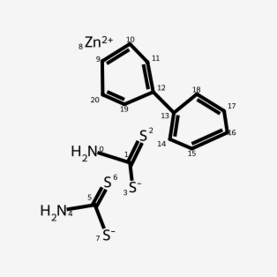 NC(=S)[S-].NC(=S)[S-].[Zn+2].c1ccc(-c2ccccc2)cc1